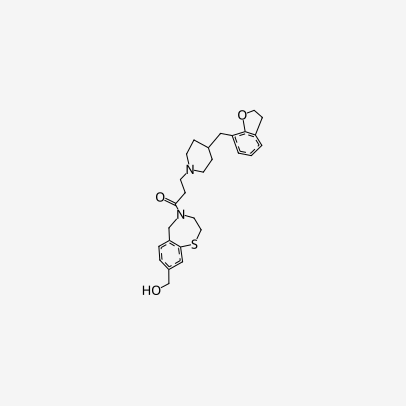 O=C(CCN1CCC(Cc2cccc3c2OCC3)CC1)N1CCSc2cc(CO)ccc2C1